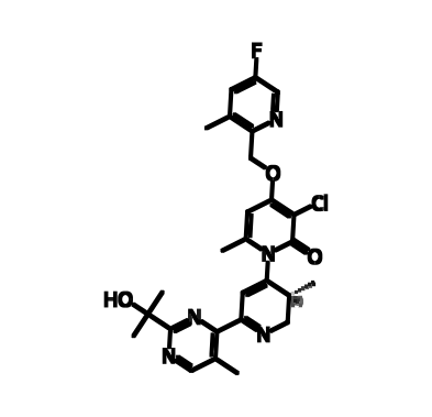 Cc1cc(F)cnc1COc1cc(C)n(C2=CC(c3nc(C(C)(C)O)ncc3C)=NC[C@H]2C)c(=O)c1Cl